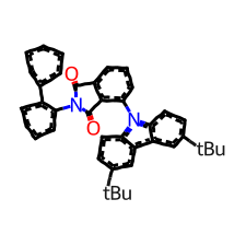 CC(C)(C)c1ccc2c(c1)c1cc(C(C)(C)C)ccc1n2-c1cccc2c1C(=O)N(c1ccccc1-c1ccccc1)C2=O